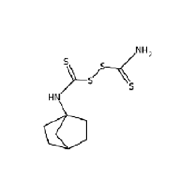 NC(=S)SSC(=S)NC12CCC(CC1)C2